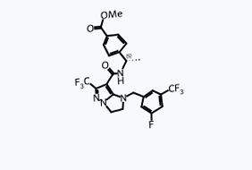 COC(=O)c1ccc([C@H](C)NC(=O)c2c(C(F)(F)F)nn3c2N(Cc2cc(F)cc(C(F)(F)F)c2)CC3)cc1